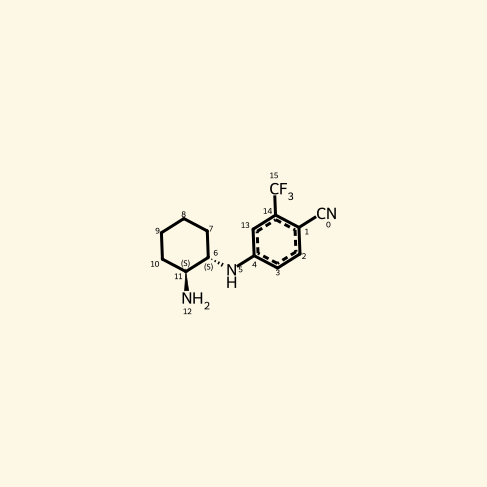 N#Cc1ccc(N[C@H]2CCCC[C@@H]2N)cc1C(F)(F)F